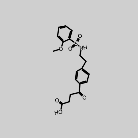 COc1ccccc1S(=O)(=O)NCCc1ccc(C(=O)CCC(=O)O)cc1